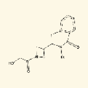 CCN1C(=O)c2ccccc2CC1C1CN(C(=O)CO)C1